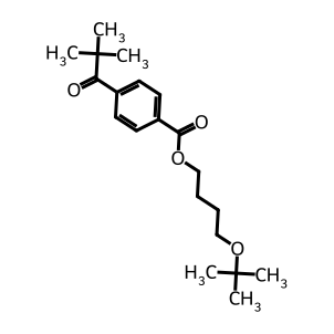 CC(C)(C)OCCCCOC(=O)c1ccc(C(=O)C(C)(C)C)cc1